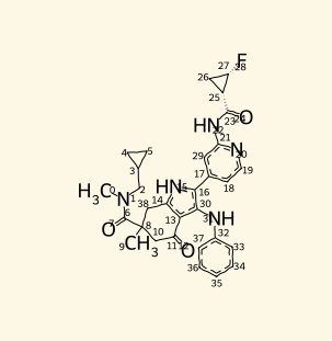 CN(CC1CC1)C(=O)C1(C)CC(=O)c2c([nH]c(-c3ccnc(NC(=O)[C@@H]4C[C@@H]4F)c3)c2Nc2ccccc2)C1